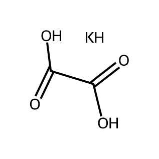 O=C(O)C(=O)O.[KH]